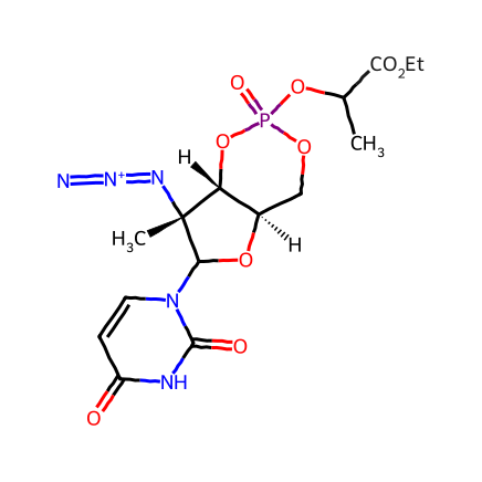 CCOC(=O)C(C)OP1(=O)OC[C@H]2OC(n3ccc(=O)[nH]c3=O)[C@](C)(N=[N+]=[N-])[C@@H]2O1